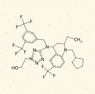 CCC1CC(N(Cc2cc(C(F)(F)F)cc(C(F)(F)F)c2)c2nnn(CCO)n2)c2cc(C(F)(F)F)ccc2N1CC1CCCC1